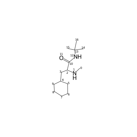 CNC(CC1CCCCC1)C(=O)NC(C)(C)C